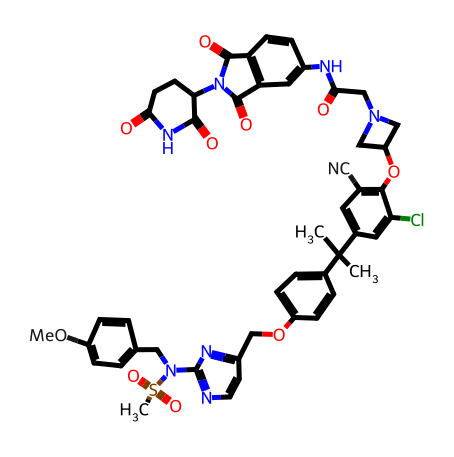 COc1ccc(CN(c2nccc(COc3ccc(C(C)(C)c4cc(Cl)c(OC5CN(CC(=O)Nc6ccc7c(c6)C(=O)N(C6CCC(=O)NC6=O)C7=O)C5)c(C#N)c4)cc3)n2)S(C)(=O)=O)cc1